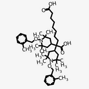 Cc1ccccc1CON1C(C)(C)CC(C(CCCCCCCC(=O)O)(C(=O)O)C2CC(C)(C)N(OCc3ccccc3C)C(C)(C)C2)CC1(C)C